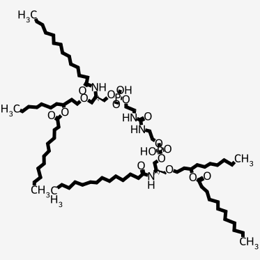 CCCCCCCCCCCCCC(=O)N[C@H](COCCC(CCCCCCC)OC(=O)CCCCCCCCCCC)COP(=O)(O)OCCNC(=O)NCCOP(=O)(O)OC[C@@H](COCCC(CCCCCCC)OC(=O)CCCCCCCCCCC)NC(=O)CCCCCCCCCCCCC